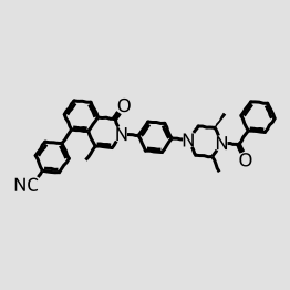 Cc1cn(-c2ccc(N3CC(C)N(C(=O)c4ccccc4)[C@H](C)C3)cc2)c(=O)c2cccc(-c3ccc(C#N)cc3)c12